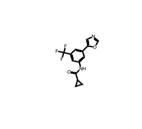 O=C(Nc1cc(-c2cnco2)cc(C(F)(F)F)c1)C1CC1